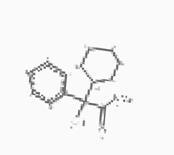 CNC(=O)C(O)(c1ccccc1)C1CCCCC1